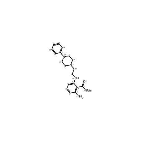 CNC(=O)c1c(N)cccc1NCCN1CCN(c2ccccc2)CC1